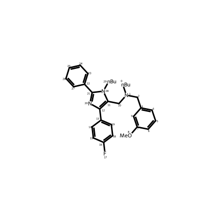 CCCCN(Cc1cccc(OC)c1)Cc1c(-c2ccc(F)cc2)nc(-c2ccccc2)n1CCCC